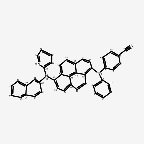 N#Cc1ccc(N(c2ccccc2)c2ccc3ccc4c(N(c5ccc6ccccc6c5)c5ccccn5)ccc5ccc2c3c54)cc1